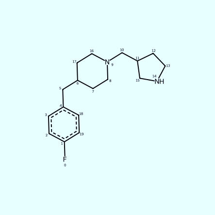 Fc1ccc(CC2CCN(CC3CCNC3)CC2)cc1